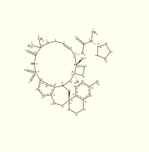 CN(C(=O)O[C@H]1C=CCOC(C)(C)C(=O)NS(=O)(=O)c2ccc3c(c2)N(C[C@@H]2CC[C@H]21)C[C@@]1(CCCc2cc(Cl)ccc21)CO3)[C@@H]1CCOC1